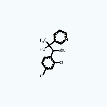 CCCCC(c1ccc(Cl)cc1Cl)C(O)(c1cccnc1)C(F)(F)F